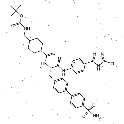 CC(C)(C)OC(=O)NCC1CCC(C(=O)N[C@@H](Cc2ccc(-c3ccc(S(N)(=O)=O)cc3)cc2)C(=O)Nc2ccc(-c3nnc(Cl)[nH]3)cc2)CC1